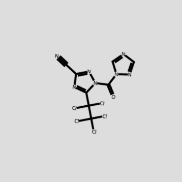 N#Cc1nc(C(Cl)(Cl)C(Cl)(Cl)Cl)n(C(=O)n2cncn2)n1